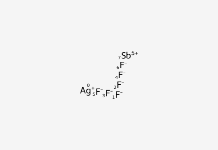 [Ag+].[F-].[F-].[F-].[F-].[F-].[F-].[Sb+5]